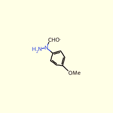 COc1ccc(N(N)[C]=O)cc1